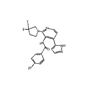 CC(C)c1ccc(C(=O)Nc2c(-c3ccn[nH]3)ccnc2N2CCC(F)(F)C2)cc1